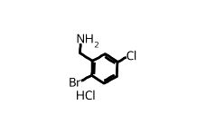 Cl.NCc1cc(Cl)ccc1Br